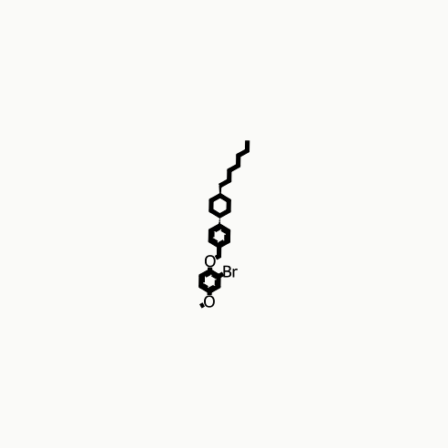 CCCCCCC[C@H]1CC[C@H](c2ccc(COc3ccc(OC)cc3Br)cc2)CC1